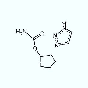 NC(=O)OC1CCCC1.c1c[nH]nn1